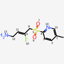 Cc1ccc(S(=O)(=O)C/C(F)=C/CN)nc1